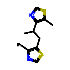 Cc1scnc1C(C)Cc1scnc1C(C)C